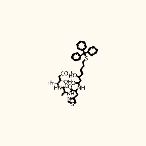 CC(NC(=O)C(Cc1cscn1)NC(=O)CC(O)C=CCCSC(c1ccccc1)(c1ccccc1)c1ccccc1)C(=O)N[C@H](C(C)C)[C@@H](O)CC(=O)O